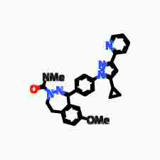 CNC(=O)N1CCc2ccc(OC)cc2C(c2ccc(-n3nc(-c4ccccn4)cc3C3CC3)cc2)=N1